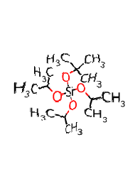 CC(C)O[Si](OC(C)C)(OC(C)C)OC(C)(C)C